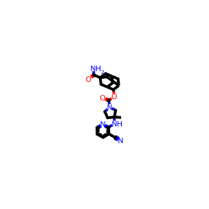 CC1(Nc2ncccc2C#N)CCN(C(=O)OC2C3CC4CC2CC(C(N)=O)(C4)C3)C1